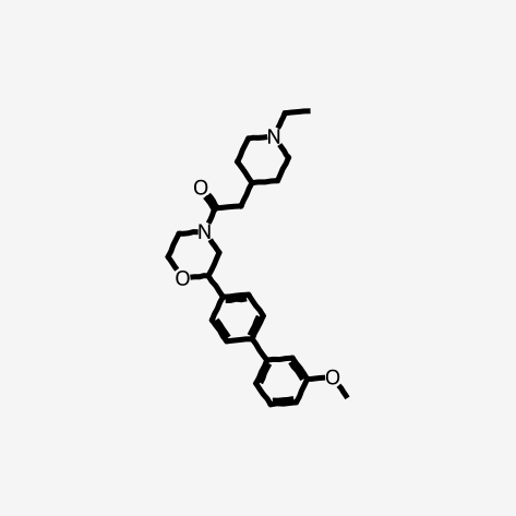 CCN1CCC(CC(=O)N2CCOC(c3ccc(-c4cccc(OC)c4)cc3)C2)CC1